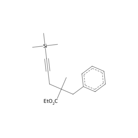 CCOC(=O)C(C)(CC#C[Si](C)(C)C)Cc1ccccc1